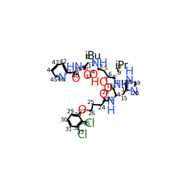 CC[C@H](C)[C@H](NC(=O)C[C@H](O)[C@H](CC(C)C)NC(=O)[C@H](Cc1c[nH]cn1)NC(=O)CCCOc1cccc(Cl)c1Cl)C(=O)NC(=O)c1ccccn1